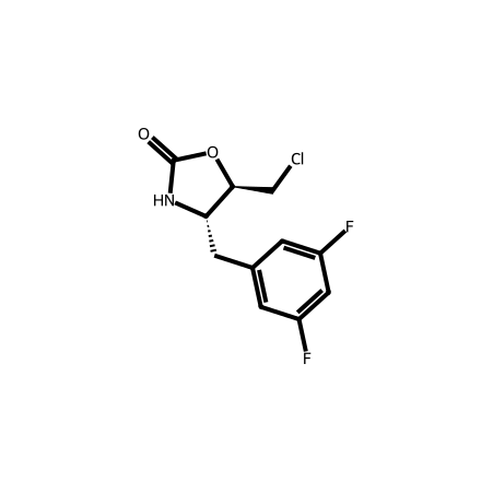 O=C1N[C@@H](Cc2cc(F)cc(F)c2)[C@H](CCl)O1